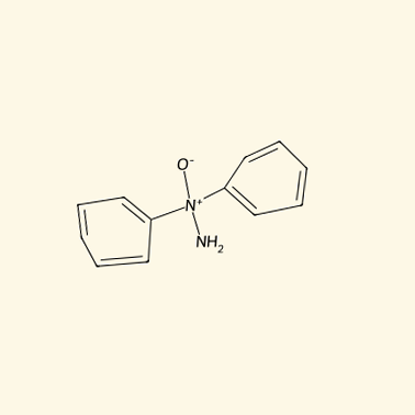 N[N+]([O-])(c1ccccc1)c1ccccc1